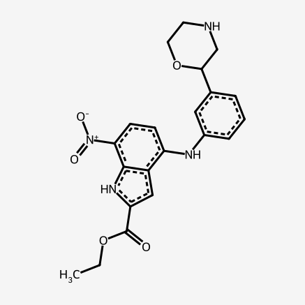 CCOC(=O)c1cc2c(Nc3cccc(C4CNCCO4)c3)ccc([N+](=O)[O-])c2[nH]1